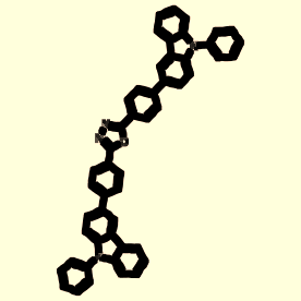 c1ccc(-n2c3ccccc3c3cc(-c4ccc(-c5nnc(-c6ccc(-c7ccc8c(c7)c7ccccc7n8-c7ccccc7)cc6)o5)cc4)ccc32)cc1